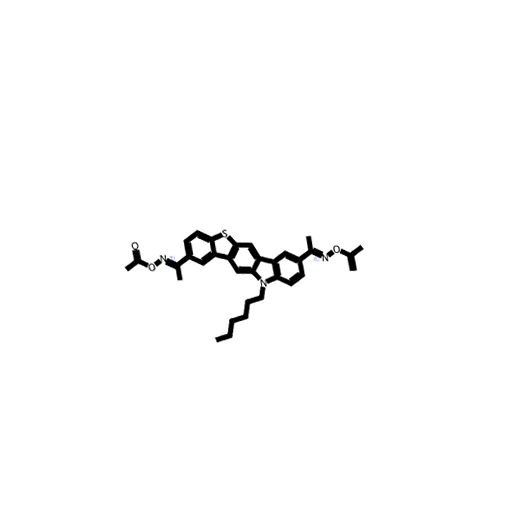 C=C(C)O/N=C(\C)c1ccc2c(c1)c1cc3sc4ccc(/C(C)=N/OC(C)=O)cc4c3cc1n2CCCCCC